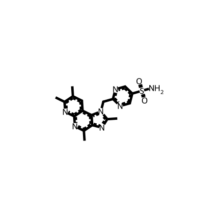 Cc1cc2c(nc1C)nc(C)c1nc(C)n(Cc3ncc(S(N)(=O)=O)cn3)c12